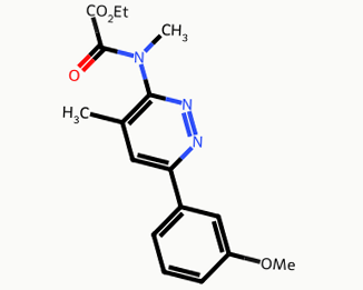 CCOC(=O)C(=O)N(C)c1nnc(-c2cccc(OC)c2)cc1C